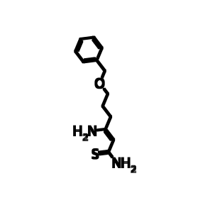 NC(=S)/C=C(\N)CCCOCc1ccccc1